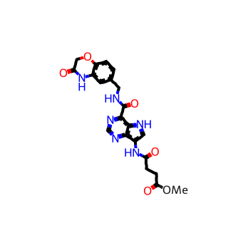 COC(=O)CCC(=O)Nc1c[nH]c2c(C(=O)NCc3ccc4c(c3)NC(=O)CO4)ncnc12